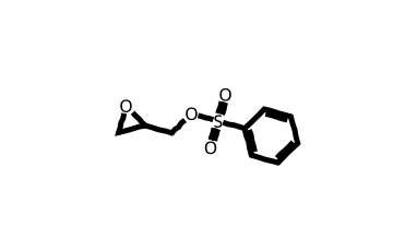 O=S(=O)(OCC1CO1)c1ccccc1